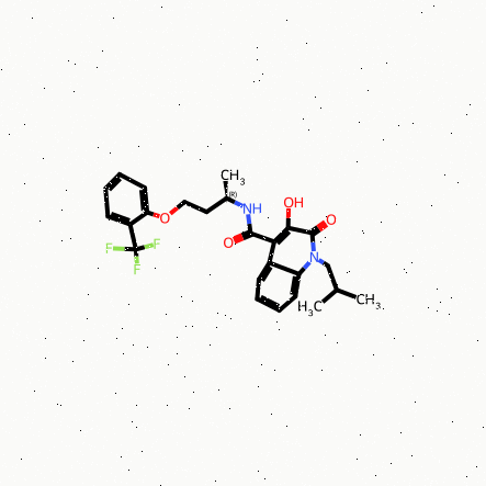 CC(C)Cn1c(=O)c(O)c(C(=O)N[C@H](C)CCOc2ccccc2C(F)(F)F)c2ccccc21